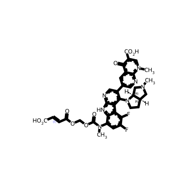 CN1C[C@H]2CCN(c3c(-c4cnc5c(c4)c(=O)c(C(=O)O)cn5C)cnc4[nH]c5c(N(C)C(=O)OCOC(=O)/C=C/C(=O)O)cc(F)c(F)c5c34)[C@H]2C1